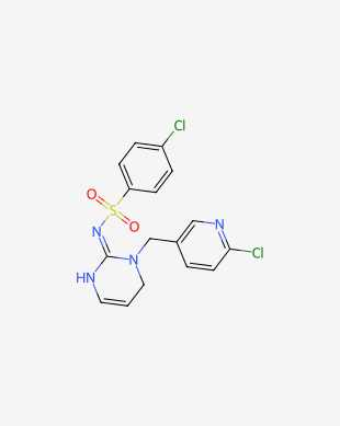 O=S(=O)(N=C1NC=CCN1Cc1ccc(Cl)nc1)c1ccc(Cl)cc1